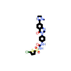 CN1CCN=C1c1ccc2c(=O)n(-c3ccc(NC(=O)NS(=O)(=O)c4ccc(Cl)s4)cc3)cnc2c1